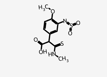 CNC(=S)C(C(=O)O)c1ccc(OC)c(N=S(=O)=O)c1